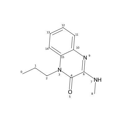 CCCn1c(=O)c(NC)nc2ccccc21